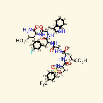 NC(=O)[C@H](CCC(=O)O)NC(=O)[C@H](Cc1c[nH]c2ccccc12)NC(=O)[C@H](Cc1cccc(F)c1)NC(=O)CNC(=O)[C@H](CCC(=O)O)NC(=O)[C@@H](CC(=O)O)NS(=O)(=O)c1ccc(C(F)(F)F)cc1